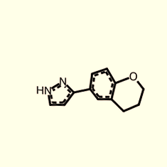 c1cc(-c2ccc3c(c2)CCCO3)n[nH]1